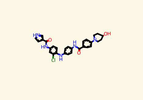 O=C(Nc1ccc(Nc2ccc(NC(=O)c3cc[nH]c3)cc2Cl)cc1)c1ccc(N2CCC(O)CC2)cc1